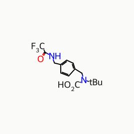 CC(C)(C)N(Cc1ccc(CNC(=O)C(F)(F)F)cc1)C(=O)O